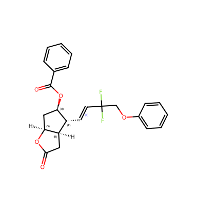 O=C1C[C@@H]2[C@@H](/C=C/C(F)(F)COc3ccccc3)[C@H](OC(=O)c3ccccc3)C[C@@H]2O1